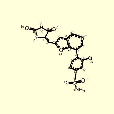 NS(=O)(=O)c1ccc(-c2cncc3cc(C=C4SC(=O)NC4=O)oc23)c(Cl)c1